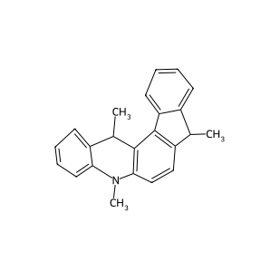 CC1c2ccccc2-c2c1ccc1c2C(C)c2ccccc2N1C